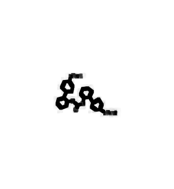 CCCCCc1ccc(-c2ccccc2OC(=O)Oc2ccccc2-c2ccc(CCCCC)cc2)cc1